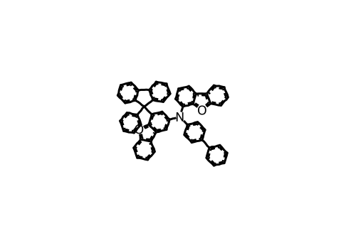 c1ccc(-c2ccc(N(c3cc(C4(c5ccccc5)c5ccccc5-c5ccccc54)c4oc5ccccc5c4c3)c3cccc4c3oc3ccccc34)cc2)cc1